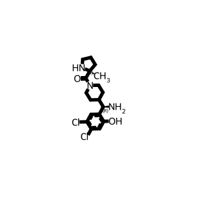 C[C@@]1(C(=O)N2CCC([C@@H](N)c3cc(Cl)c(Cl)cc3O)CC2)CCCN1